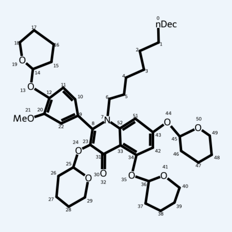 CCCCCCCCCCCCCCCCn1c(-c2ccc(OC3CCCCO3)c(OC)c2)c(OC2CCCCO2)c(=O)c2c(OC3CCCCO3)cc(OC3CCCCO3)cc21